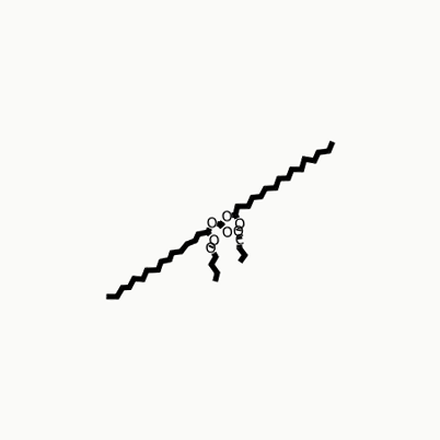 CCCCCCCCCCCCCCCC(OOCCCC)OC(=O)OC(CCCCCCCCCCCCCCC)OOCCCC